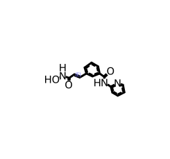 O=C(/C=C/c1cccc(C(=O)Nc2ccccn2)c1)NO